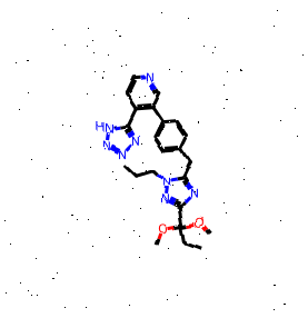 CCCn1nc(C(CC)(OC)OC)nc1Cc1ccc(-c2cnccc2-c2nnn[nH]2)cc1